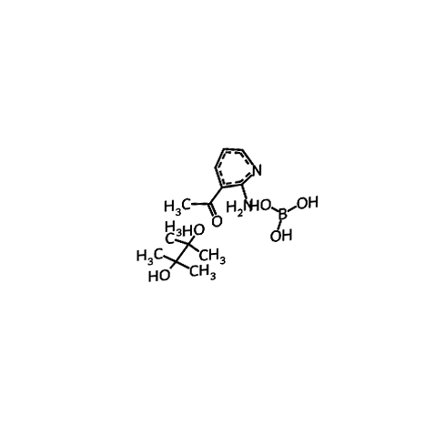 CC(=O)c1cccnc1N.CC(C)(O)C(C)(C)O.OB(O)O